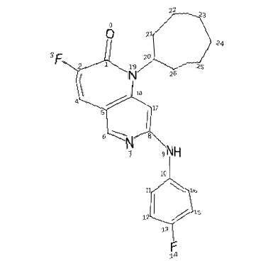 O=c1c(F)cc2cnc(Nc3ccc(F)cc3)cc2n1C1CCCCCC1